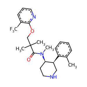 Cc1ccccc1[C@H]1CNCC[C@H]1N(C)C(=O)C(C)(C)COc1ncccc1C(F)(F)F